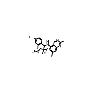 CCSCC(O)(C(Nc1cc(F)cc2nc(C)ncc12)c1ccc(O)cc1F)C(F)(F)F